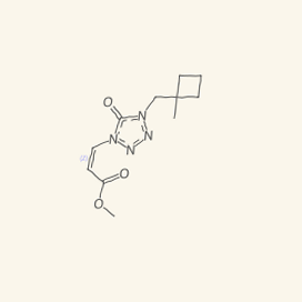 COC(=O)/C=C\n1nnn(CC2(C)CCC2)c1=O